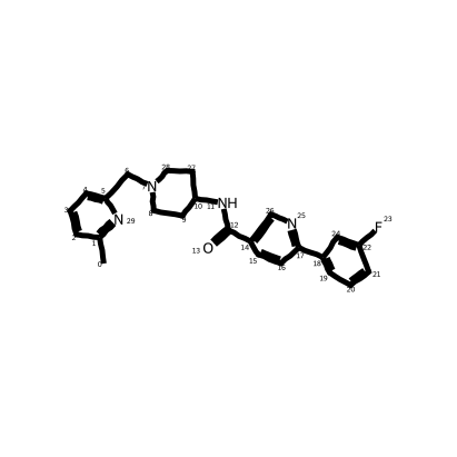 Cc1cccc(CN2CCC(NC(=O)c3ccc(-c4cccc(F)c4)nc3)CC2)n1